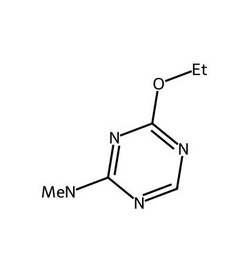 CCOc1ncnc(NC)n1